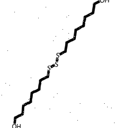 OCCCCCCCCSSSCCCCCCCCO